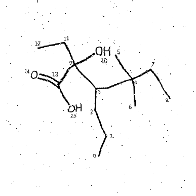 CCCC(C(C)(C)CC)C(O)(CC)C(=O)O